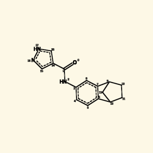 O=C(Nc1ccc2c(c1)C1CCC2C1)c1cn[nH]c1